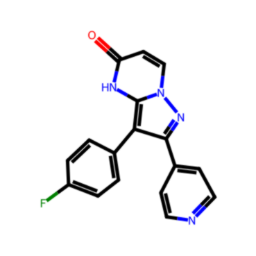 O=c1ccn2nc(-c3ccncc3)c(-c3ccc(F)cc3)c2[nH]1